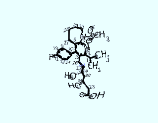 CC(C)c1nc2c(c(-c3ccc(F)cc3)c1/C=C/[C@@H](O)C[C@@H](O)CC(=O)O)CCCCN2S(C)(=O)=O